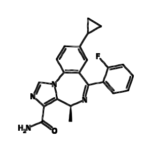 C[C@@H]1N=C(c2ccccc2F)c2cc(C3CC3)ccc2-n2cnc(C(N)=O)c21